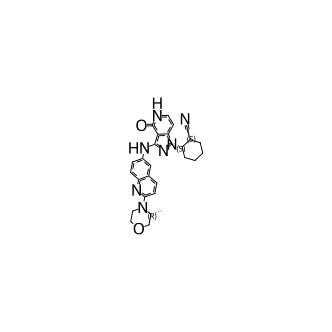 C[C@@H]1COCCN1c1ccc2cc(Nc3nn([C@H]4CCCC[C@@H]4C#N)c4cc[nH]c(=O)c34)ccc2n1